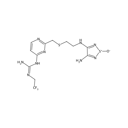 N/C(=N/CC(F)(F)F)Nc1ccnc(CSCCNc2n[s+]([O-])nc2N)n1